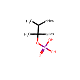 CCCCCCC(C)C(C)(CCCCCC)OP(=O)(O)O